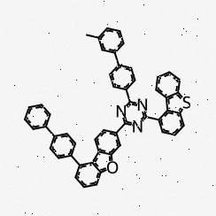 Cc1cccc(-c2ccc(-c3nc(-c4ccc5c(c4)oc4cccc(-c6ccc(-c7ccccc7)cc6)c45)nc(-c4cccc5sc6ccccc6c45)n3)cc2)c1